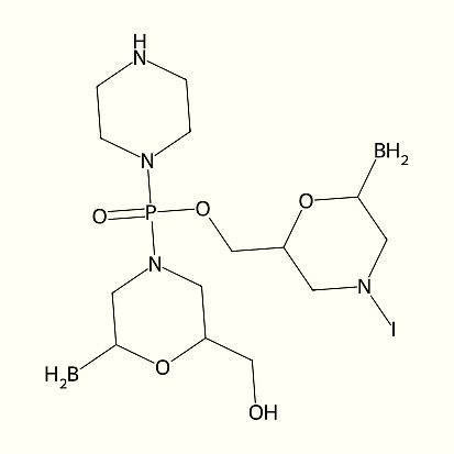 BC1CN(I)CC(COP(=O)(N2CCNCC2)N2CC(B)OC(CO)C2)O1